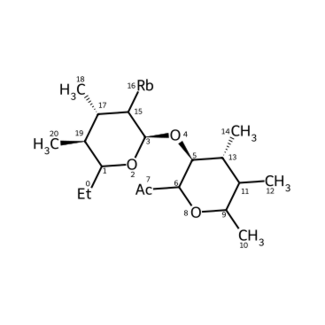 CCC1O[C@H](O[C@@H]2C(C(C)=O)OC(C)C(C)[C@H]2C)[CH]([Rb])[C@@H](C)[C@@H]1C